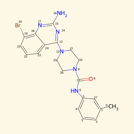 Cc1cccc(NC(=O)N2CCN(c3nc(N)nc4c(Br)cccc34)CC2)c1